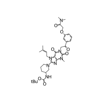 CC(C)=CCn1c(N2CCCC(NC(=O)OC(C)(C)C)C2)nc2c1c(=O)n(CC(=O)c1cccc(OCC(=O)N(C)C)c1)c(=O)n2C